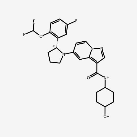 O=C(NC1CCC(O)CC1)c1cnn2ccc(N3CCC[C@@H]3c3cc(F)ccc3OC(F)F)cc12